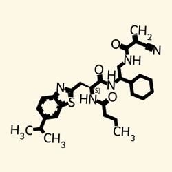 C=C(C#N)C(=O)NCC(NC(=O)[C@H](Cc1nc2ccc(C(C)C)cc2s1)NC(=O)CCC)C1CCCCC1